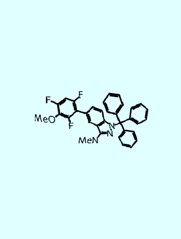 CNc1nn(C(c2ccccc2)(c2ccccc2)c2ccccc2)c2ccc(-c3c(F)cc(F)c(OC)c3F)cc12